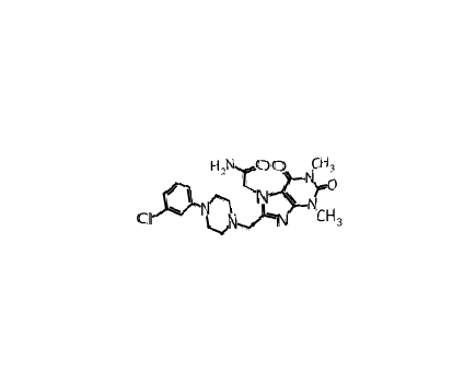 Cn1c(=O)c2c(nc(CN3CCN(c4cccc(Cl)c4)CC3)n2CC(N)=O)n(C)c1=O